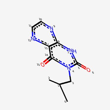 CC(C)Cn1c(=O)[nH]c2nccnc2c1=O